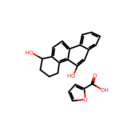 O=C(O)c1ccco1.Oc1cc2ccccc2c2ccc3c(c12)CCCC3O